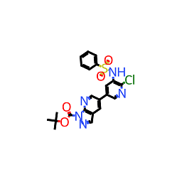 CC(C)(C)OC(=O)n1ncc2cc(-c3cnc(Cl)c(NS(=O)(=O)c4ccccc4)c3)cnc21